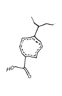 [CH2]C(C)c1ccc(C(=O)O)cc1